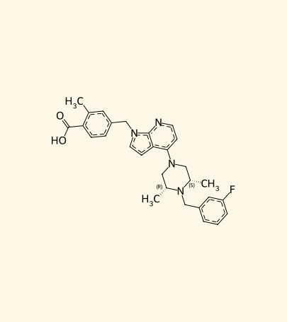 Cc1cc(Cn2ccc3c(N4C[C@@H](C)N(Cc5cccc(F)c5)[C@@H](C)C4)ccnc32)ccc1C(=O)O